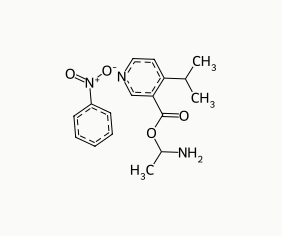 CC(N)OC(=O)c1cnccc1C(C)C.O=[N+]([O-])c1ccccc1